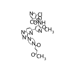 COc1ncc(-c2ccc3ncnc(N4CCN(C(=O)/C=C/C(C)=O)CC4)c3n2)cc1NS(=O)(=O)c1c(Cl)cncc1Cl